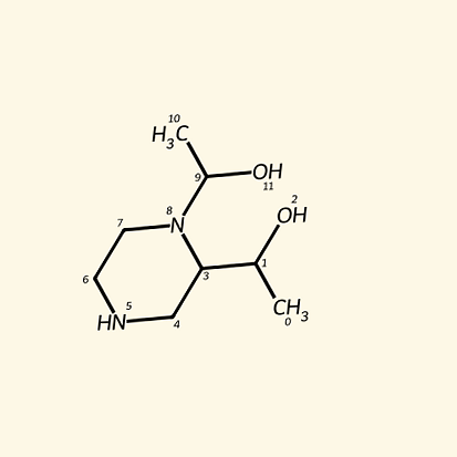 CC(O)C1CNCCN1C(C)O